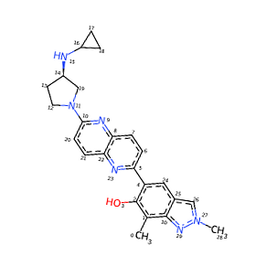 Cc1c(O)c(-c2ccc3nc(N4CC[C@@H](NC5CC5)C4)ccc3n2)cc2cn(C)nc12